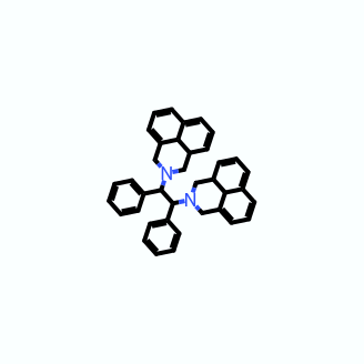 C1=CC2=CC=CC3CN(C(c4ccccc4)C(c4ccccc4)N4CC5=CC=CC6=CC=CC(C4)C65)CC(=C1)C23